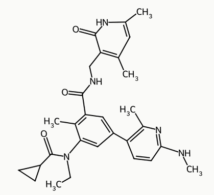 CCN(C(=O)C1CC1)c1cc(-c2ccc(NC)nc2C)cc(C(=O)NCc2c(C)cc(C)[nH]c2=O)c1C